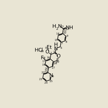 CCOC(C(=O)NCc1ccc(C(=N)N)cc1)c1c(F)cc(-c2ccccn2)cc1F.Cl